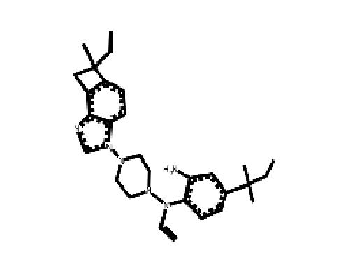 C=CN(c1ccc(C(C)(C)CC)cc1N)N1CCN(n2cnc3c4c(ccc32)C(C)(CC)C4)CC1